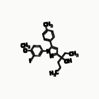 CCCC(O)(CC)c1cc(-c2ccc(C)cc2)n(-c2ccc(OC)c(F)c2)n1